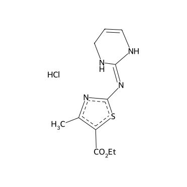 CCOC(=O)c1sc(N=C2NC=CCN2)nc1C.Cl